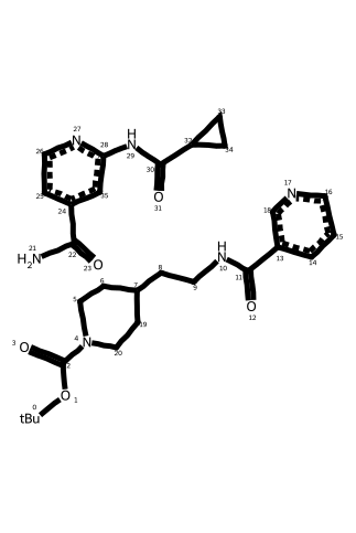 CC(C)(C)OC(=O)N1CCC(CCNC(=O)c2cccnc2)CC1.NC(=O)c1ccnc(NC(=O)C2CC2)c1